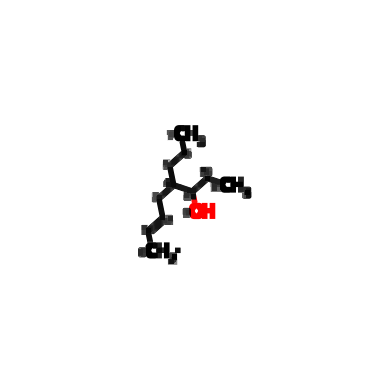 [CH2]/C=C/CC(CCC)C(O)CC